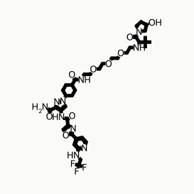 CC(C)(C)[C@H](NCCOCCOCCOCCNC(=O)C1CCC(n2cc(NC(=O)c3coc(-c4ccnc(NCC(F)(F)F)c4)n3)c(C(N)=O)n2)CC1)C(=O)N1CC[C@@H](O)C1